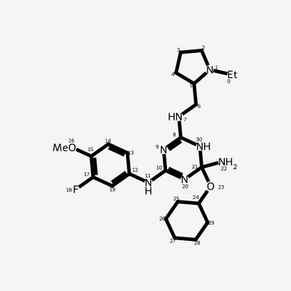 CCN1CCCC1CNC1=NC(Nc2ccc(OC)c(F)c2)=NC(N)(OC2CCCCC2)N1